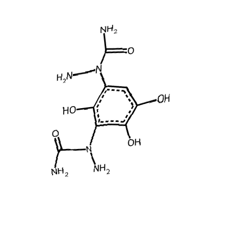 NC(=O)N(N)c1cc(O)c(O)c(N(N)C(N)=O)c1O